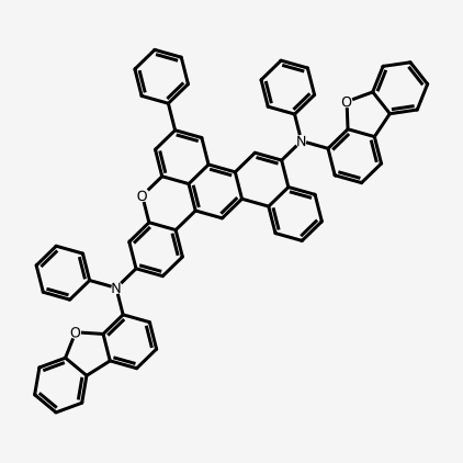 c1ccc(-c2cc3c4c(cc5c6ccccc6c(N(c6ccccc6)c6cccc7c6oc6ccccc67)cc5c4c2)-c2ccc(N(c4ccccc4)c4cccc5c4oc4ccccc45)cc2O3)cc1